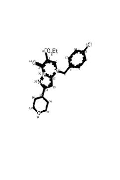 CCOC(=O)c1cn(Cc2ccc(Cl)cc2)c2cc(C3CCOCC3)nn2c1=O